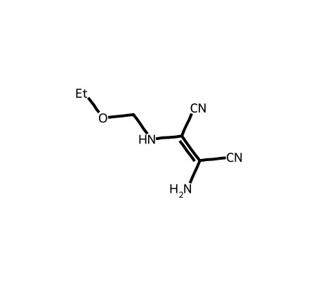 CCOCN/C(C#N)=C(\N)C#N